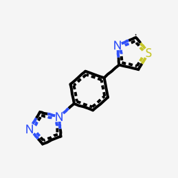 [c]1nc(-c2ccc(-n3ccnc3)cc2)cs1